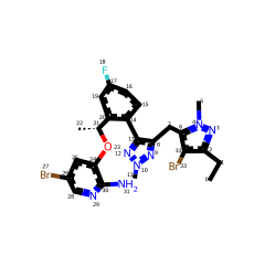 CCc1nn(C)c(Cc2nn(C)nc2-c2ccc(F)cc2[C@@H](C)Oc2cc(Br)cnc2N)c1Br